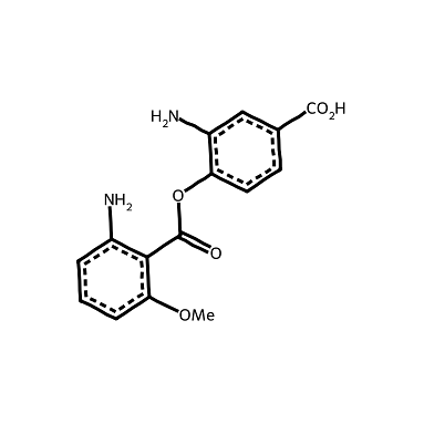 COc1cccc(N)c1C(=O)Oc1ccc(C(=O)O)cc1N